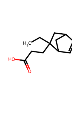 CCC1(CCC(=O)O)CC2C=CC1C2